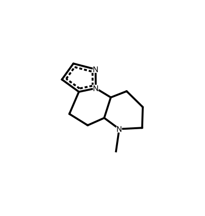 CN1CCCC2C1CCc1ccnn12